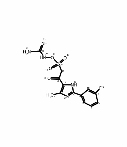 Cc1nc(-c2cccc(F)c2)[nH]c1C(=O)CS(=O)(=O)ONC(=N)N